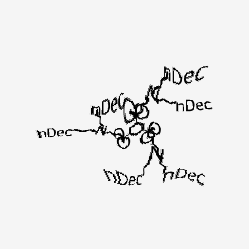 CCCCCCCCCCCCCCN(CCCCCCCCCCCCCC)CCCOC(=O)[C@H]1C[C@@H](C(=O)OCCCN(CCCCCCCCCCCCCC)CCCCCCCCCCCCCC)C[C@@H](C(=O)OCCCN(CCCCCCCCCCCCCC)CCCCCCCCCCCCCC)C1